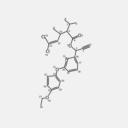 C#CC(OC(=O)C(C(C)C)C(C)C=C(Cl)Cl)c1cccc(Oc2ccc(OCC)cc2)n1